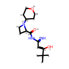 CC(C)(C)/C(O)=C/C(=N)NC(=O)C1CCN1C1CCOCC1